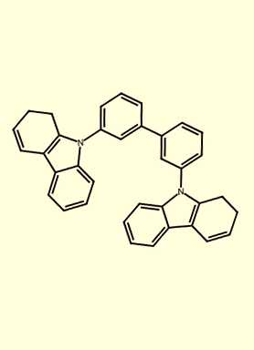 C1=Cc2c(n(-c3cccc(-c4cccc(-n5c6c(c7ccccc75)C=CCC6)c4)c3)c3ccccc23)CC1